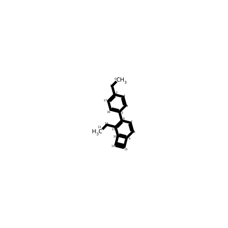 CCc1ccc(-c2c[c]c3c(c2CC)C#C3)cc1